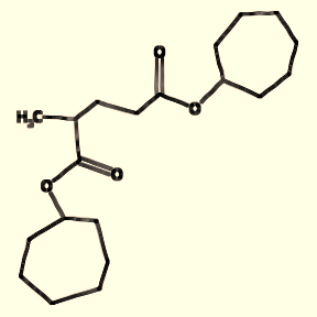 CC(CCC(=O)OC1CCCCCC1)C(=O)OC1CCCCCC1